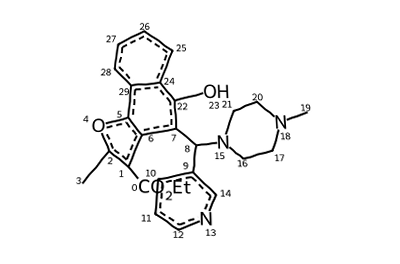 CCOC(=O)c1c(C)oc2c1c(C(c1cccnc1)N1CCN(C)CC1)c(O)c1ccccc12